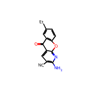 CCc1ccc2oc3nc(N)c(C#N)cc3c(=O)c2c1